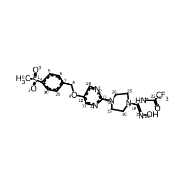 CS(=O)(=O)c1ccc(COc2cnc(N3CCN(C(=NO)NC(=O)C(F)(F)F)CC3)nc2)cc1